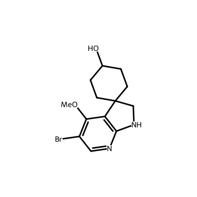 COc1c(Br)cnc2c1C1(CCC(O)CC1)CN2